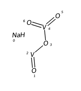 [NaH].[O]=[V][O][V](=[O])=[O]